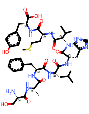 CSCC[C@H](NC(=O)[C@@H](NC(=O)[C@H](Cc1c[nH]cn1)NC(=O)[C@H](CC(C)C)NC(=O)[C@H](Cc1ccccc1)NC(=O)[C@H](C)NC(=O)[C@@H](N)CO)C(C)C)C(=O)N[C@@H](Cc1ccc(O)cc1)C(=O)O